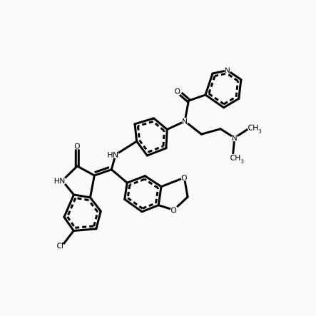 CN(C)CCN(C(=O)c1cccnc1)c1ccc(N/C(=C2\C(=O)Nc3cc(Cl)ccc32)c2ccc3c(c2)OCO3)cc1